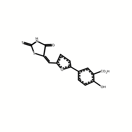 O=C1NC(=S)SC1=Cc1ccc(-c2ccc(O)c(C(=O)O)c2)o1